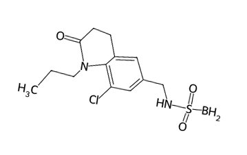 BS(=O)(=O)NCc1cc(Cl)c2c(c1)CCC(=O)N2CCC